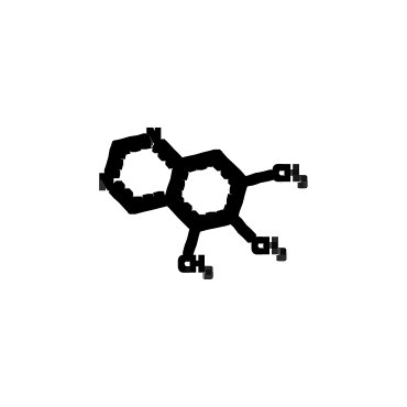 Cc1cc2ncncc2c(C)c1C